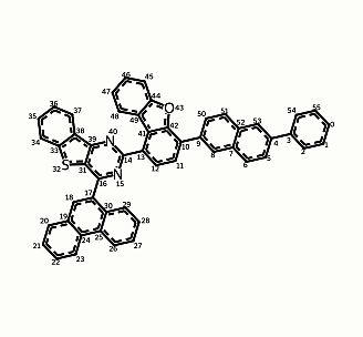 c1ccc(-c2ccc3cc(-c4ccc(-c5nc(-c6cc7ccccc7c7ccccc67)c6sc7ccccc7c6n5)c5c4oc4ccccc45)ccc3c2)cc1